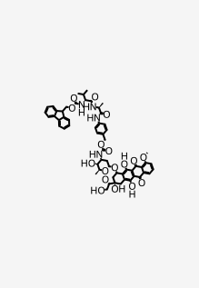 COc1cccc2c1C(=O)c1c(O)c3c(c(O)c1C2=O)C[C@@](O)(C(=O)CO)CC3OC1C[C@H](NC(=O)OCc2ccc(NC(=O)[C@H](C)NC(=O)[C@H](NC(=O)OCC3c4ccccc4-c4ccccc43)C(C)C)cc2)[C@H](O)[C@H](C)O1